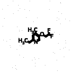 CCc1cc(C)c(OCC(F)F)cn1